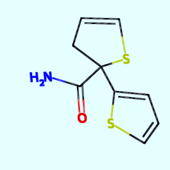 NC(=O)C1(c2cccs2)CC=CS1